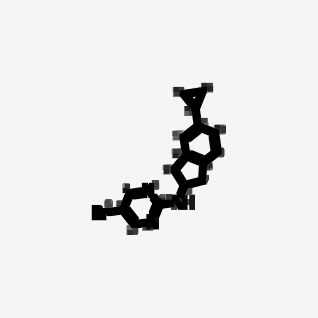 Brc1cnc(NC2Cc3ccc(C4CC4)cc3C2)nc1